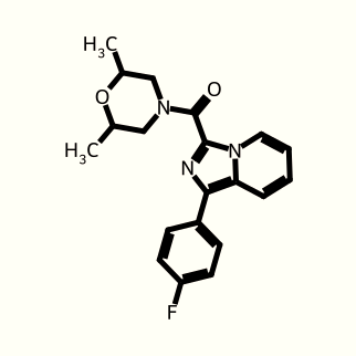 CC1CN(C(=O)c2nc(-c3ccc(F)cc3)c3ccccn23)CC(C)O1